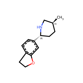 C[C@H]1CC[C@H](c2ccc3c(c2)OCC3)NC1